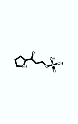 [O]C(CCOP(=O)(O)O)C1CCCN1